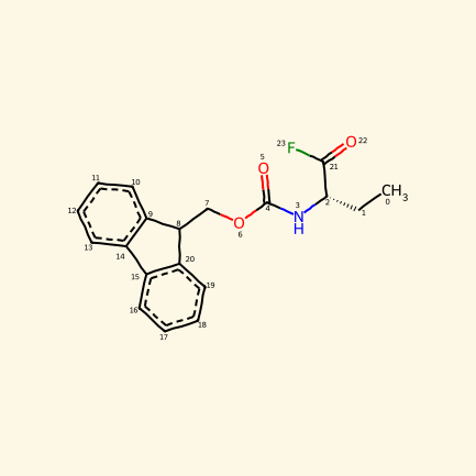 CC[C@H](NC(=O)OCC1c2ccccc2-c2ccccc21)C(=O)F